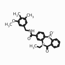 CCN1C(=O)c2ccccc2[S+]([O-])c2ccc(C(=O)NCc3cc(C)c(C)c(OC)c3)cc21